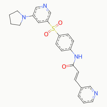 O=C(/C=C/c1cccnc1)Nc1ccc(S(=O)(=O)c2cncc(N3CCCC3)c2)cc1